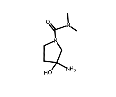 CN(C)C(=O)N1CCC(N)(O)C1